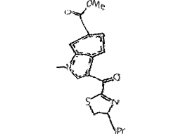 COC(=O)c1ccc2c(C(=O)C3=NC(C(C)C)CS3)cn(C)c2c1